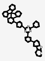 c1ccc(-c2nc(-c3ccc(-c4cccc5c4-c4ccccc4C54c5ccccc5-c5ccccc54)cc3)nc(-c3cccc(-c4ccc5oc6ccccc6c5c4)c3)n2)cc1